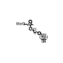 COCCCn1c(C2CCCN(C(=O)C[C@H](C)Cc3ccc(NC(=O)Nc4c(C)noc4C)cc3)C2)c(C)c2ccccc21